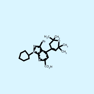 CC(C)c1nn(C2CCCCC2)c2nc(C(=O)O)cc(C3=CC(C)(C)OC(C)(C)C3)c12